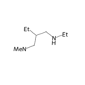 CCNCC(CC)CNC